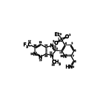 CCS(=O)(=O)c1ccc(C=N)nc1-c1nc2cc(C(F)(F)F)nnc2n1C